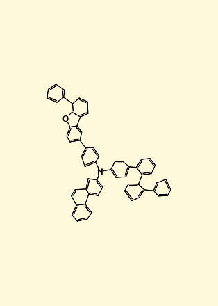 c1ccc(-c2ccccc2-c2ccccc2-c2ccc(N(c3ccc(-c4ccc5oc6c(-c7ccccc7)cccc6c5c4)cc3)c3ccc4c(ccc5ccccc54)c3)cc2)cc1